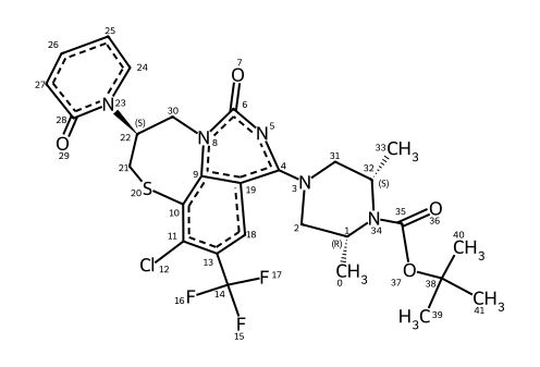 C[C@@H]1CN(c2nc(=O)n3c4c(c(Cl)c(C(F)(F)F)cc24)SC[C@@H](n2ccccc2=O)C3)C[C@H](C)N1C(=O)OC(C)(C)C